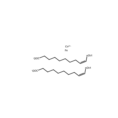 CCCCCCCC/C=C\CCCCCCCC(=O)[O-].CCCCCCCC/C=C\CCCCCCCC(=O)[O-].[Co+2].[Fe]